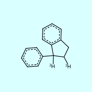 [2H]C1Cc2ccccc2C1([2H])c1ccccc1